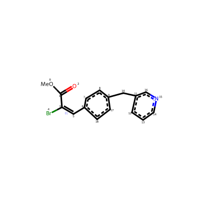 COC(=O)/C(Br)=C\c1ccc(Cc2cccnc2)cc1